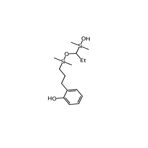 CCC(O[Si](C)(C)CCCc1ccccc1O)[Si](C)(C)O